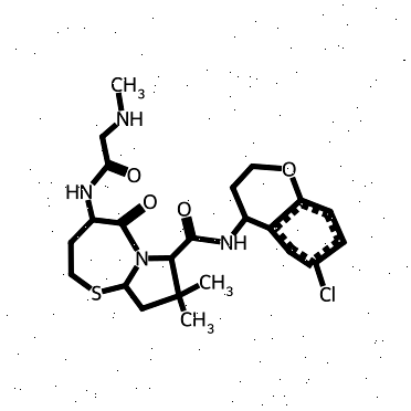 CNCC(=O)NC1CCSC2CC(C)(C)C(C(=O)NC3CCOc4ccc(Cl)cc43)N2C1=O